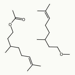 CC(=O)OCCC(C)CCC=C(C)C.COCCC(C)CCC=C(C)C